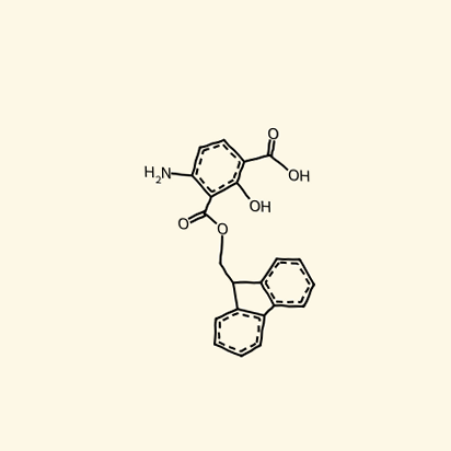 Nc1ccc(C(=O)O)c(O)c1C(=O)OCC1c2ccccc2-c2ccccc21